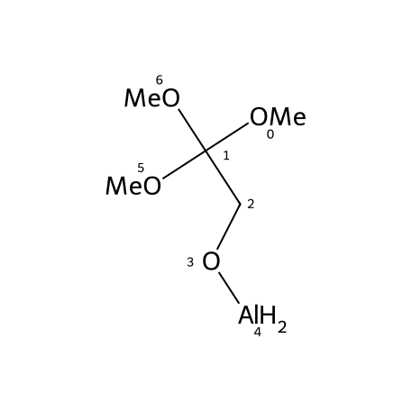 COC(C[O][AlH2])(OC)OC